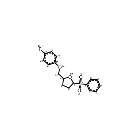 O=S(=O)(c1ccccc1)C1CCC(COc2ccc(F)cc2)O1